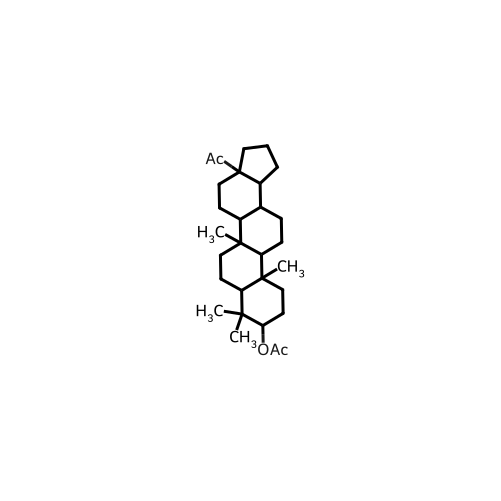 CC(=O)OC1CCC2(C)C(CCC3(C)C4CCC5(C(C)=O)CCCC5C4CCC32)C1(C)C